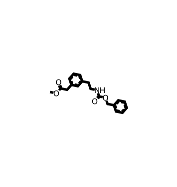 COC(=O)Cc1cccc(CCNC(=O)OCc2ccccc2)c1